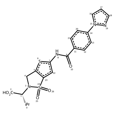 CC(C)[C@H](C(=O)O)N1Cc2sc(NC(=O)c3ccc(-n4cccn4)cc3)cc2S1(=O)=O